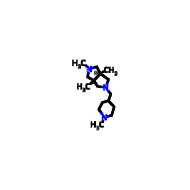 CN1CCC(CN2C[C@]3(C)CN(C)C[C@]3(C)C2)CC1